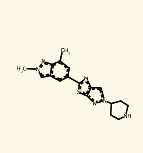 Cc1cc(-c2nc3cn(C4CCNCC4)nc3s2)cc2cn(C)nc12